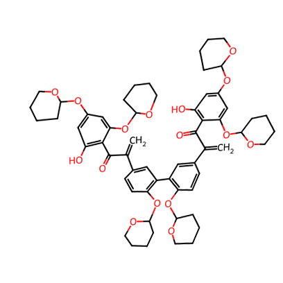 C=C(C(=O)c1c(O)cc(OC2CCCCO2)cc1OC1CCCCO1)c1ccc(OC2CCCCO2)c(-c2cc(C(=C)C(=O)c3c(O)cc(OC4CCCCO4)cc3OC3CCCCO3)ccc2OC2CCCCO2)c1